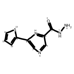 NNC(=O)c1cncc(-c2cccs2)n1